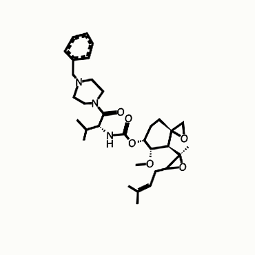 CO[C@@H]1[C@H](OC(=O)N[C@@H](C(=O)N2CCN(Cc3ccccc3)CC2)C(C)C)CC[C@]2(CO2)[C@H]1[C@@]1(C)OC1CC=C(C)C